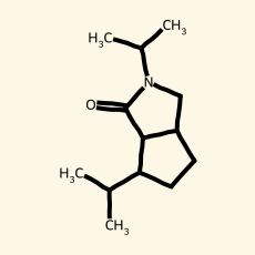 CC(C)C1CCC2CN(C(C)C)C(=O)C21